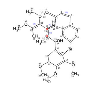 C=C(/C=C\c1ccccc1N/C=C\C(O)C1=C(Br)C(OC)=C(OC)C(OC)C1)/C=C(OC)\C(OC)=C(/C)OC